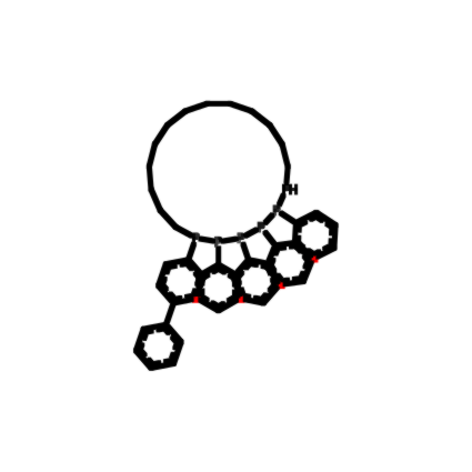 c1ccc(-c2ccc(P3CCCCCCCCCCCCCPP(c4ccccc4)P(c4ccccc4)P(c4ccccc4)P3c3ccccc3)cc2)cc1